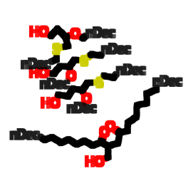 CCCCCCCCCCCCCCCCCC(=O)CC(CO)C(=O)CCCCCCCCCCCCCCCCC.CCCCCCCCCCCCSCC(CCCO)OCCCCCCCCCC.CCCCCCCCCCCCSCC(CCO)OCCCCCCCCCC.CCCCCCCCCCCOC(CCO)CSCCCCCCCCCCC